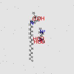 CCCCCCCCCCCCCCCCCCN(C)CC(CO)OCC.C[N+](C)(C)CCOP(=O)(O)O